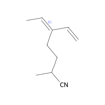 C=C/C(=C/C)CCC(C)C#N